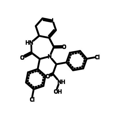 O=C(NO)C(c1ccc(Cl)cc1)N1C(=O)C2=CI=CCC2NC(=O)C1c1ccc(Cl)cc1